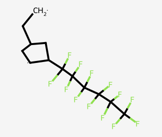 [CH2]CC1C[CH]C(C(F)(F)C(F)(F)C(F)(F)C(F)(F)C(F)(F)C(F)(F)F)C1